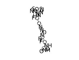 O=C1CCC(Nc2ccc(C3CCN(CC(=O)N4CCN(c5ccc(-c6cc(F)c7cn(C(C(=O)Nc8nccs8)c8ncn9c8CCC9)nc7c6)cc5)CC4)CC3(F)F)c(F)c2)C(=O)N1